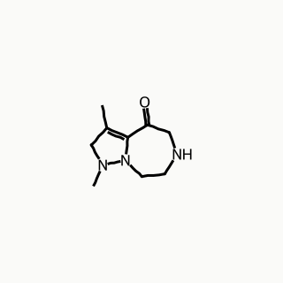 CC1=C2C(=O)CNCCN2N(C)C1